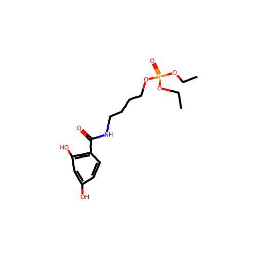 CCOP(=O)(OCC)OCCCCNC(=O)c1ccc(O)cc1O